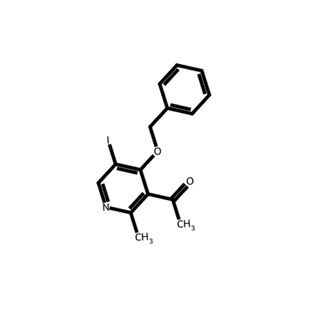 CC(=O)c1c(C)ncc(I)c1OCc1ccccc1